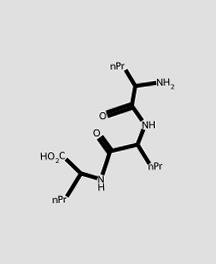 CCCC(N)C(=O)NC(CCC)C(=O)NC(CCC)C(=O)O